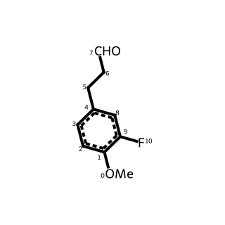 COc1ccc(CCC=O)cc1F